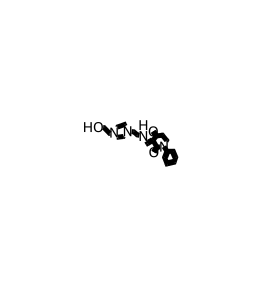 O=C1CCN(c2ccccc2)C(=O)C1=CNCCN1CCN(CCO)CC1